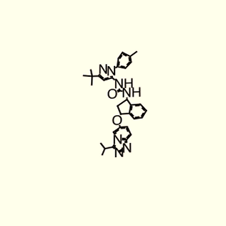 Cc1ccc(-n2nc(C(C)(C)C)cc2NC(=O)N[C@@H]2C[C@H](Oc3ccc4nnc(C(C)C)n4c3)c3ccccc32)cc1